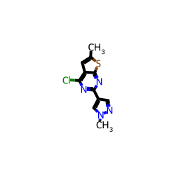 Cc1cc2c(Cl)nc(-c3cnn(C)c3)nc2s1